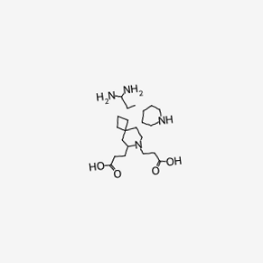 C1CCNCC1.CCC(N)N.O=C(O)CCC1CC2(CCC2)CCN1CCC(=O)O